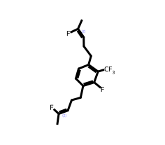 C/C(F)=C/CCc1ccc(CC/C=C(/C)F)c(C(F)(F)F)c1F